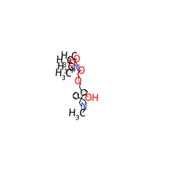 CC[C@@H](C)N(CC(OC)OC)C(=O)CCOCCc1ccc(O)c(C2(c3ccccc3)CCN(CC)CC2)c1